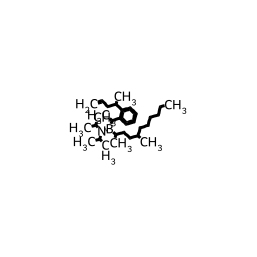 C=CCC(C)c1ccccc1C(C)B(C(C)CCC(C)CCCCCC)N(C(C)C)C(C)C